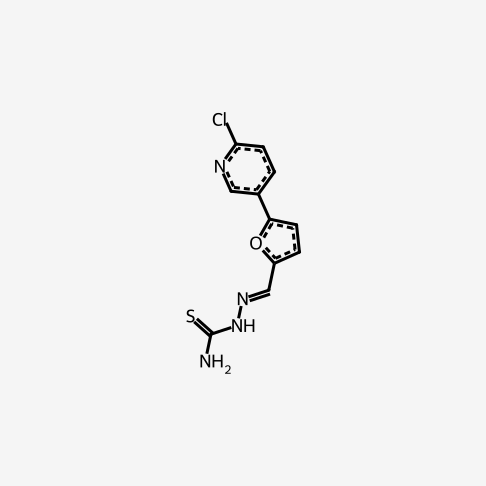 NC(=S)NN=Cc1ccc(-c2ccc(Cl)nc2)o1